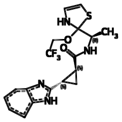 C[C@@H](NC(=O)[C@H]1C[C@@H]1c1nc2ccccc2[nH]1)C1(OCC(F)(F)F)NC=CS1